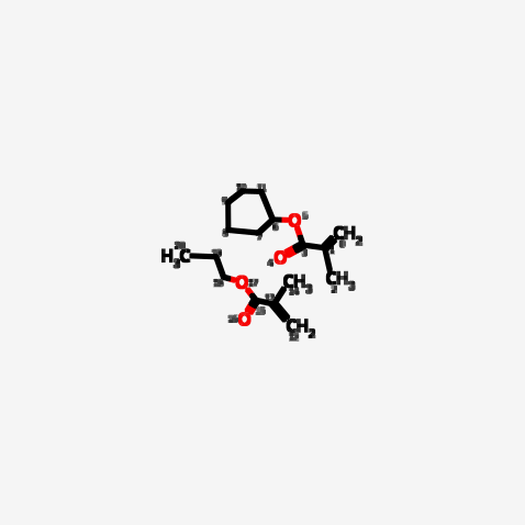 C=C(C)C(=O)OC1CCCCC1.C=C(C)C(=O)OCCC